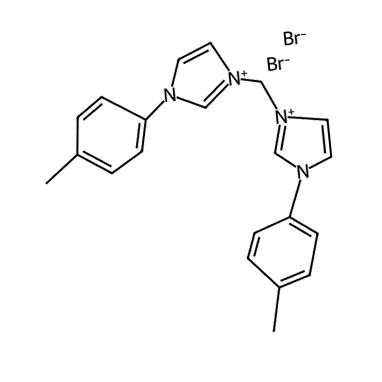 Cc1ccc(-n2cc[n+](C[n+]3ccn(-c4ccc(C)cc4)c3)c2)cc1.[Br-].[Br-]